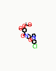 COC[C@H](C)Oc1ccc(C(=O)N2CCC3(CC2)Oc2cc(Cl)ccc2-n2cccc23)cc1OC